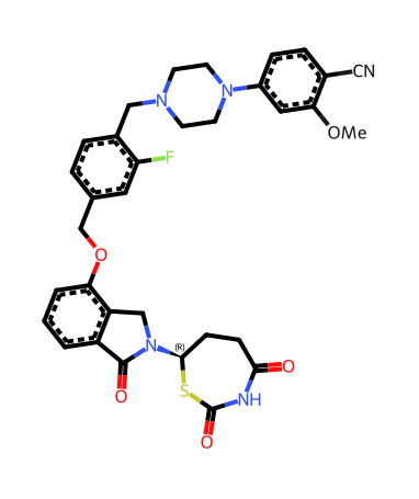 COc1cc(N2CCN(Cc3ccc(COc4cccc5c4CN([C@H]4CCC(=O)NC(=O)S4)C5=O)cc3F)CC2)ccc1C#N